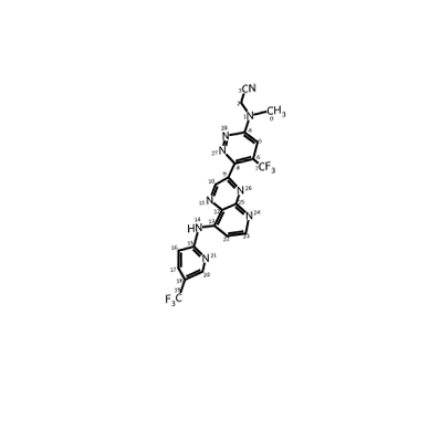 CN(CC#N)c1cc(C(F)(F)F)c(-c2cnc3c(Nc4ccc(C(F)(F)F)cn4)ccnc3n2)nn1